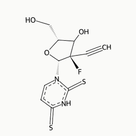 C#C[C@@]1(F)C(O)[C@@H](CO)O[C@H]1n1ccc(=S)[nH]c1=S